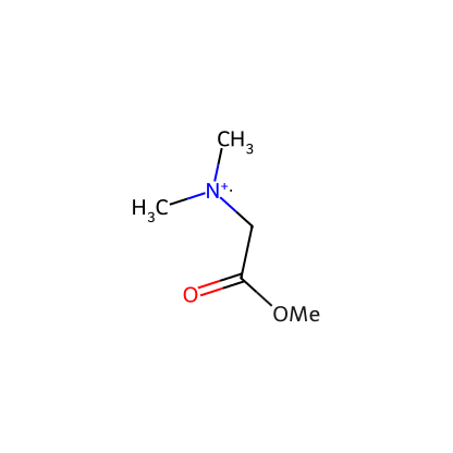 COC(=O)C[N+](C)C